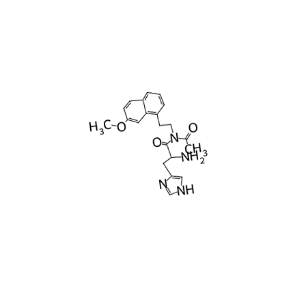 COc1ccc2cccc(CCN(C(C)=O)C(=O)C(N)Cc3c[nH]cn3)c2c1